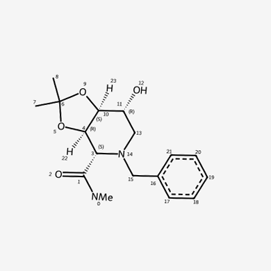 CNC(=O)[C@@H]1[C@H]2OC(C)(C)O[C@H]2[C@H](O)CN1Cc1ccccc1